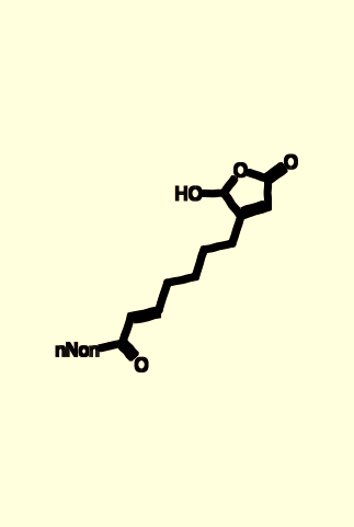 CCCCCCCCCC(=O)C=CCCCCC1=CC(=O)OC1O